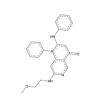 COCCNc1cc2c(cn1)c(=O)cc(Nc1ccccc1)n2-c1ccccc1